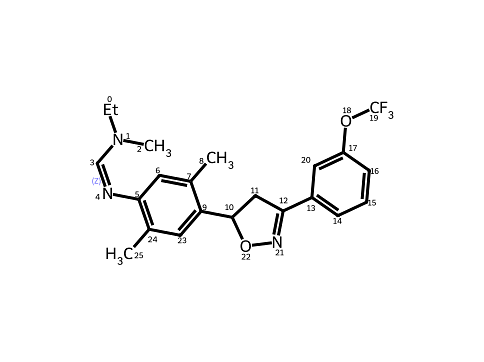 CCN(C)/C=N\c1cc(C)c(C2CC(c3cccc(OC(F)(F)F)c3)=NO2)cc1C